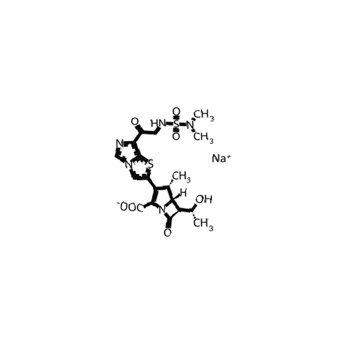 C[C@@H](O)[C@H]1C(=O)N2C(C(=O)[O-])=C(c3cn4cnc(C(=O)CNS(=O)(=O)N(C)C)c4s3)[C@H](C)[C@H]12.[Na+]